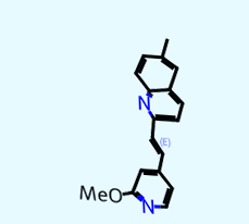 COc1cc(/C=C/c2ccc3cc(C)ccc3n2)ccn1